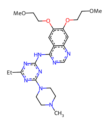 CCc1nc(Nc2ncnc3cc(OCCOC)c(OCCOC)cc23)nc(N2CCN(C)CC2)n1